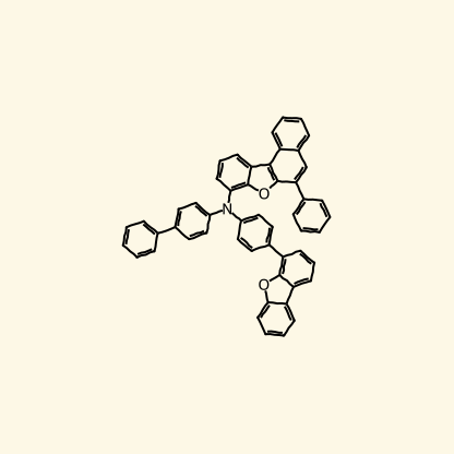 c1ccc(-c2ccc(N(c3ccc(-c4cccc5c4oc4ccccc45)cc3)c3cccc4c3oc3c(-c5ccccc5)cc5ccccc5c34)cc2)cc1